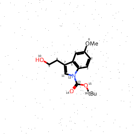 COc1ccc2c(c1)c(CCO)cn2C(=O)OC(C)(C)C